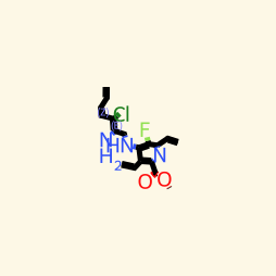 C=C/C=C\C(Cl)=C(/N)CNc1c(F)c(C=C)nc(C(=O)OC)c1C=C